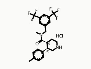 Cc1ccc([C@@H]2CNCC[C@@H]2C(=O)N(C)Cc2cc(C(F)(F)F)cc(C(F)(F)F)c2)cc1.Cl